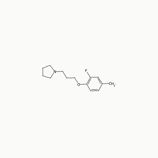 [CH2]c1ccc(OCCCN2CCCC2)c(F)c1